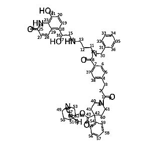 O=C(CCc1ccc(C(=O)N(CCCNCC(O)c2ccc(O)c3[nH]c(=O)ccc23)Cc2ccccc2)cc1)N1CCC(C(=O)O[C@H]2CN3CCC2CC3)(c2ccccc2)CC1